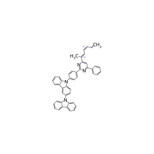 C=C/C=C\C=C(/C)c1cc(-c2ccccc2)nc(-c2ccc(-n3c4ccccc4c4cc(-n5c6ccccc6c6ccccc65)ccc43)cc2)n1